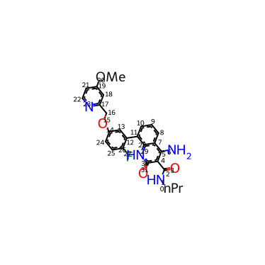 CCCNC(=O)c1c(N)c2cccc(-c3cc(OCc4cc(OC)ccn4)ccc3F)c2[nH]c1=O